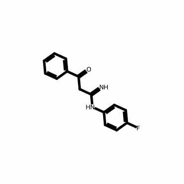 N=C(CC(=O)c1ccccc1)Nc1ccc(F)cc1